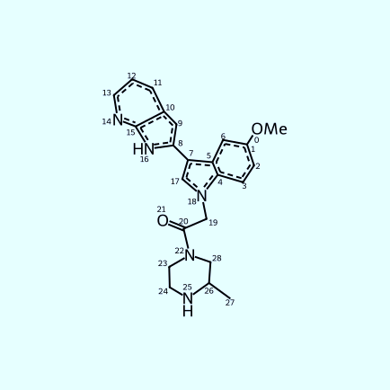 COc1ccc2c(c1)c(-c1cc3cccnc3[nH]1)cn2CC(=O)N1CCNC(C)C1